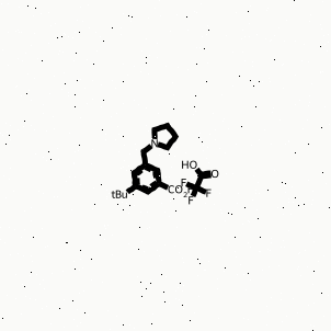 CC(C)(C)c1cc(CN2CCCC2)cc(C(=O)O)c1.O=C(O)C(F)(F)F